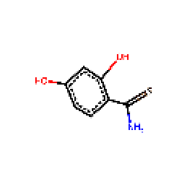 NC(=S)c1ccc(O)cc1O